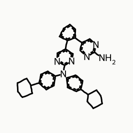 Nc1ncc(-c2ccccc2-c2cnc(N(c3ccc(C4CCCCC4)cc3)c3ccc(C4CCCCC4)cc3)nc2)cn1